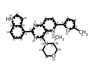 Cc1ccc(-c2ccc3nc(-c4cccc5[nH]ccc45)nc(N4CCOC[C@H]4C)c3n2)o1